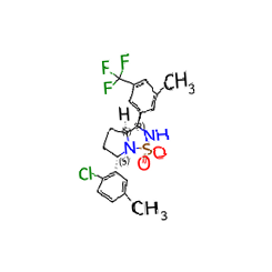 Cc1cc([C@H]2NS(=O)(=O)N3[C@H](c4cc(C)ccc4Cl)CC[C@@H]23)cc(C(F)(F)F)c1